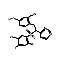 COc1ccc(CC(c2ccncn2)S(=O)(=O)c2cc(Cl)c(F)cc2F)c(OC)c1